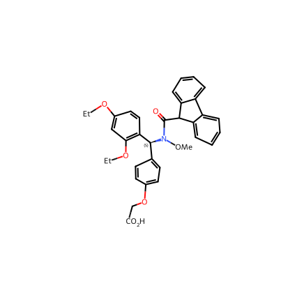 CCOc1ccc([C@H](c2ccc(OCC(=O)O)cc2)N(OC)C(=O)C2c3ccccc3-c3ccccc32)c(OCC)c1